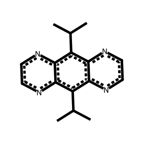 CC(C)c1c2nccnc2c(C(C)C)c2nccnc12